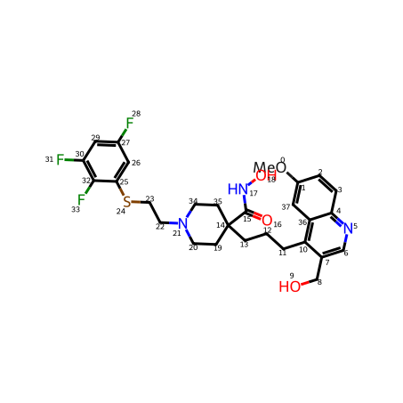 COc1ccc2ncc(CO)c(CCCC3(C(=O)NO)CCN(CCSc4cc(F)cc(F)c4F)CC3)c2c1